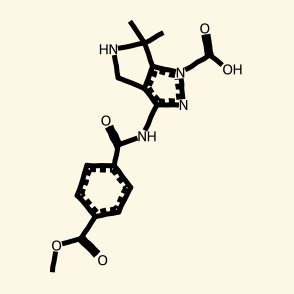 COC(=O)c1ccc(C(=O)Nc2nn(C(=O)O)c3c2CNC3(C)C)cc1